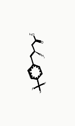 N[C@H](CC(=O)O)Cc1ccc(C(F)(F)F)cc1